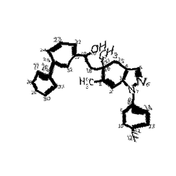 CC1=Cc2c(cnn2-c2ccc(F)cc2)C[C@@]1(C)CC(O)c1cccc(-c2ccccc2)c1